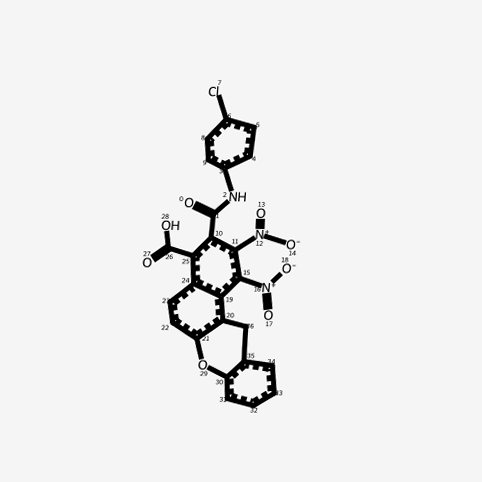 O=C(Nc1ccc(Cl)cc1)c1c([N+](=O)[O-])c([N+](=O)[O-])c2c3c(ccc2c1C(=O)O)Oc1ccccc1C3